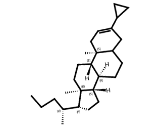 CCC[C@@H](C)[C@H]1CC[C@H]2[C@@H]3CCC4CC(C5CC5)=CC[C@]4(C)[C@H]3CC[C@]12C